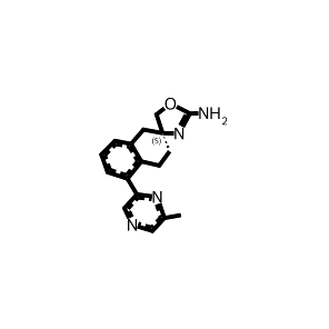 Cc1cncc(-c2cccc3c2CC[C@@]2(COC(N)=N2)C3)n1